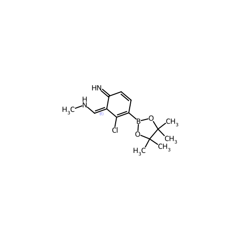 CN/C=C1\C(=N)C=CC(B2OC(C)(C)C(C)(C)O2)=C1Cl